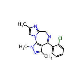 Cc1cn2c(n1)CN=C(c1ccccc1Cl)c1c(C)nn(C)c1-2